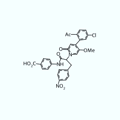 COc1cn(C(Cc2ccc([N+](=O)[O-])cc2)C(=O)Nc2ccc(C(=O)O)cc2)c(=O)cc1-c1cc(Cl)ccc1C(C)=O